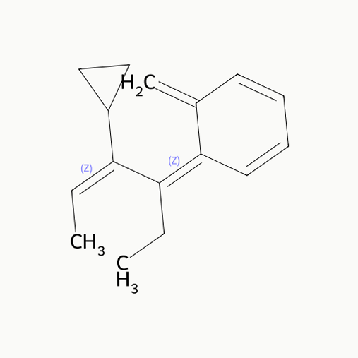 C=c1cccc/c1=C(CC)/C(=C\C)C1CC1